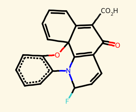 O=C(O)C1=C2C=CC=CC23Oc2ccccc2N2C3=C(C=CC2F)C1=O